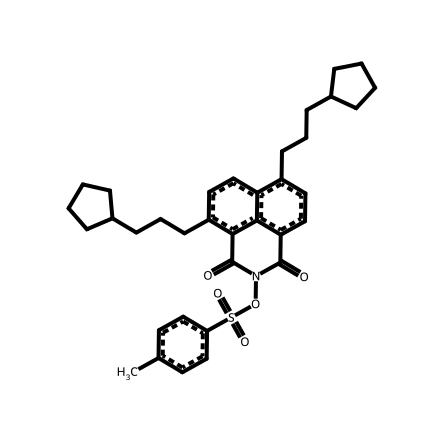 Cc1ccc(S(=O)(=O)ON2C(=O)c3ccc(CCCC4CCCC4)c4ccc(CCCC5CCCC5)c(c34)C2=O)cc1